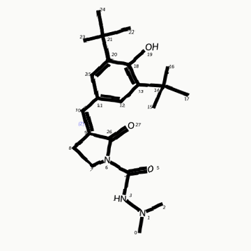 CN(C)NC(=O)N1CC/C(=C/c2cc(C(C)(C)C)c(O)c(C(C)(C)C)c2)C1=O